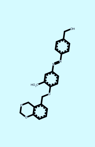 O=C(O)c1cc(/N=N/c2ccc(CO)cc2)ccc1OCc1cccc2c1COCO2